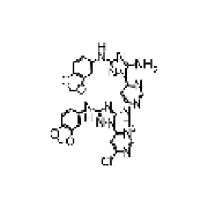 Nc1nc(Nc2ccc3c(c2)OCO3)nn1-c1cc(Cl)ncn1.Nc1nc(Nc2ccc3c(c2)OCO3)nn1-c1ccncn1